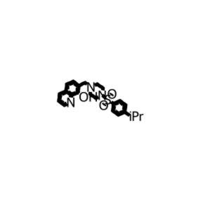 CC(C)c1ccc(S(=O)(=O)N2CCN(Cc3ccc4cccnc4c3O)CC2)cc1